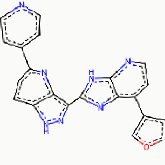 c1cc(-c2ccc3[nH]nc(-c4nc5c(-c6ccoc6)ccnc5[nH]4)c3n2)ccn1